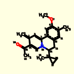 C=C1C=C2c3cc(OC)c(C)cc3CC(C3(C)CC3)N2C=C1C(C)=O